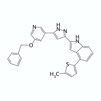 Cc1ccc(-c2cccc3[nH]c(-c4cc(-c5cncc(OCc6ccccc6)c5)[nH]n4)cc23)s1